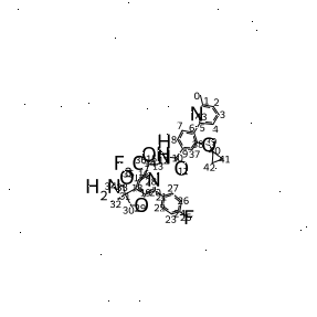 Cc1cccc(-c2ccc(C(=O)NC[C@](O)(c3cc4c(c(-c5ccc(F)cc5)n3)OC[C@]4(C)C(N)=O)C(F)(F)F)cc2OC2CC2)n1